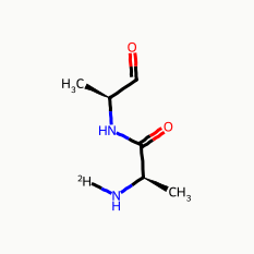 [2H]N[C@H](C)C(=O)N[C@@H](C)C=O